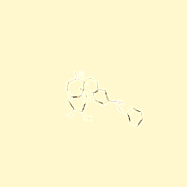 CN1CCc2cc(Cl)c(O)cc2[C@H]2c3ccc(NCc4ccccc4)cc3CC[C@@H]21